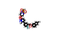 Cc1nc(OC2CCN(S(C)(=O)=O)CC2)ccc1-c1ccc(F)c(COc2ccc3c(c2)CC(C)C3)c1